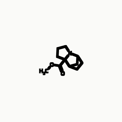 COC(=O)C12CCCN1C1CCC2C1